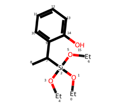 CCO[Si](OCC)(OCC)C(C)c1ccccc1O